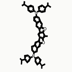 Cc1c2oc3cc4cc(N(c5ccc(C(C)C)cc5)c5ccc(C(C)C)cc5)ccc4cc3c2cc2c1oc1cc3cc(N(c4ccc(C(C)C)cc4)c4ccc(C(C)C)cc4)ccc3cc12